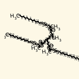 CCCCCCCCCCCCCCSSSCC(C)OC(=O)CCN(C)CCCN(CCC(=O)OC(C)CSSSCCCCCCCCCCCCCC)CCC(=O)OC(C)CSSSCCCCCCCCCCCCCC